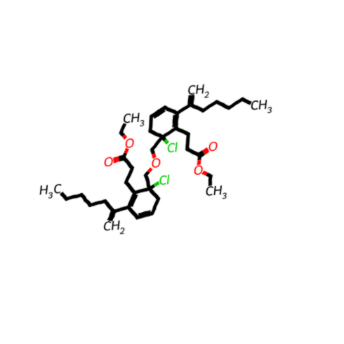 C=C(CCCCC)C1=C(CCC(=O)OCC)C(Cl)(COCC2(Cl)CC=CC(C(=C)CCCCC)=C2CCC(=O)OCC)CC=C1